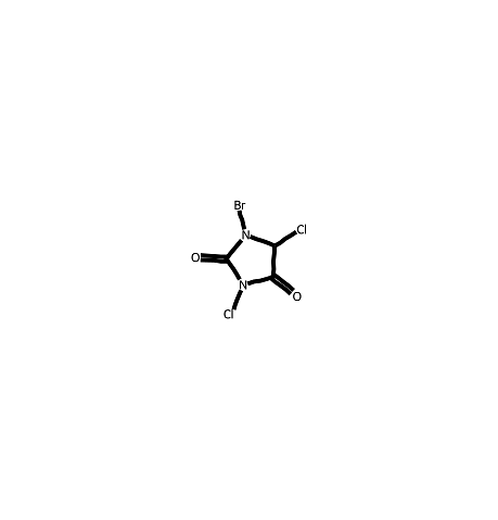 O=C1C(Cl)N(Br)C(=O)N1Cl